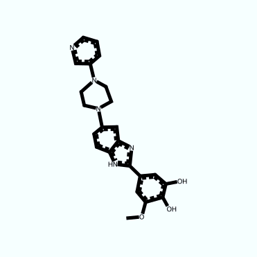 COc1cc(-c2nc3cc(N4CCN(c5cccnc5)CC4)ccc3[nH]2)cc(O)c1O